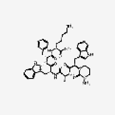 C[C@H](NC(=O)[C@@H](Cc1c[nH]c2ccccc12)N1CCCN(N)C1=O)C(=O)N[C@@H](Cc1c[nH]c2ccccc12)C(=O)N[C@H](Cc1ccccc1)C(=O)N[C@@H](CCCCN)C(N)=O